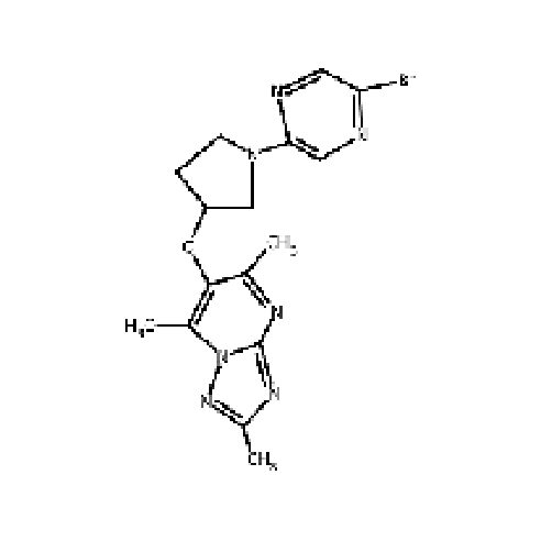 Cc1nc2nc(C)c(OC3CCN(c4cnc(Br)cn4)C3)c(C)n2n1